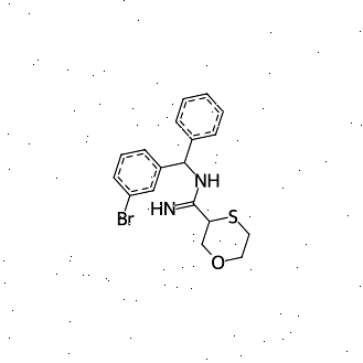 N=C(NC(c1ccccc1)c1cccc(Br)c1)C1COCCS1